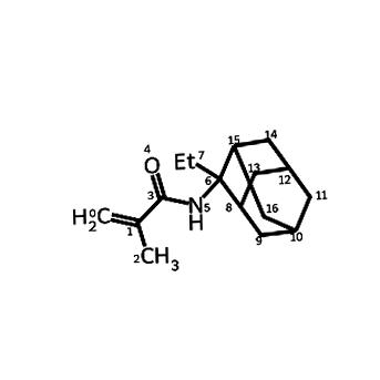 C=C(C)C(=O)NC1(CC)C2CC3CC(C2)CC1C3